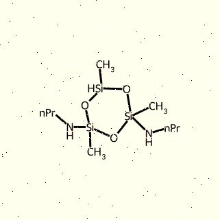 CCCN[Si]1(C)O[SiH](C)O[Si](C)(NCCC)O1